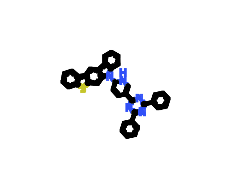 C1=CC(n2c3ccccc3c3cc4c(cc32)sc2ccccc24)NC=C1c1nc(-c2ccccc2)nc(-c2ccccc2)n1